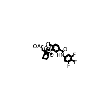 CC(=O)OC[C@@]1(OC(C)=O)CC2CCC1[C@@H]2S(=O)(=O)c1cc(C(=O)Nc2cc(F)c(F)c(F)c2)ccc1Cl